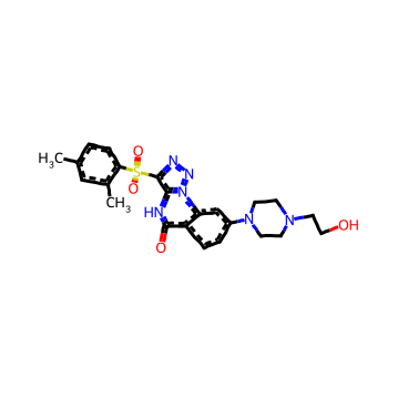 Cc1ccc(S(=O)(=O)c2nnn3c2[nH]c(=O)c2ccc(N4CCN(CCO)CC4)cc23)c(C)c1